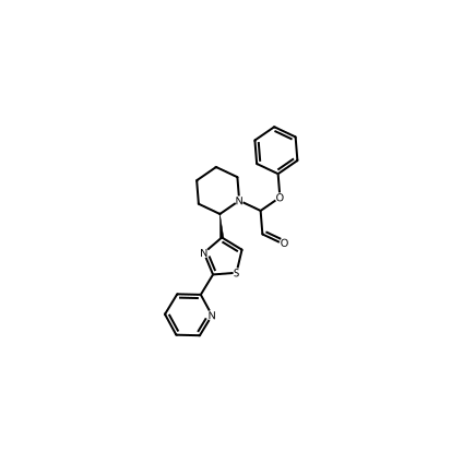 O=CC(Oc1ccccc1)N1CCCC[C@@H]1c1csc(-c2ccccn2)n1